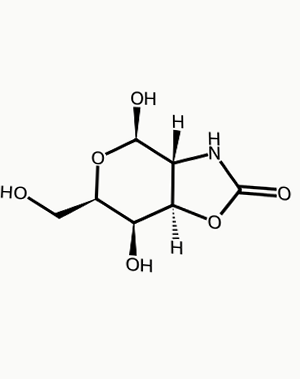 O=C1N[C@@H]2[C@@H](O1)[C@@H](O)[C@@H](CO)O[C@H]2O